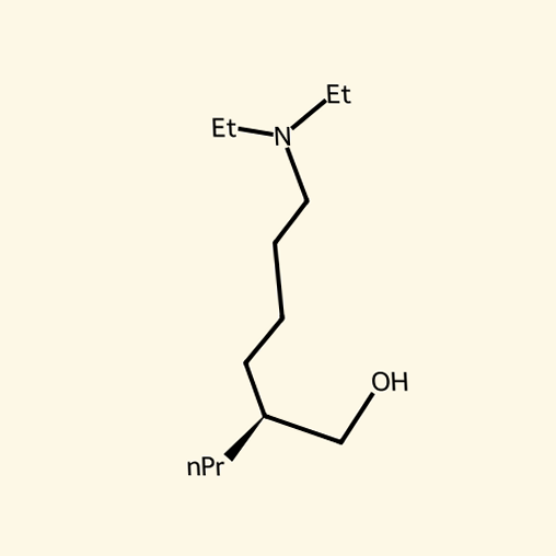 CCC[C@H](CO)CCCCN(CC)CC